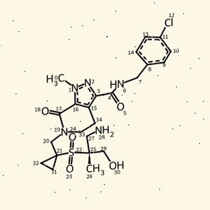 Cn1nc(C(=O)NCc2ccc(Cl)cc2)c2c1C(=O)N(CC1(S(=O)(=O)[C@](C)(CN)CO)CC1)CC2